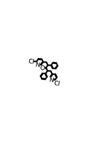 O=C(C(Cc1ccc(Cl)nc1)c1ccccc1)C(Cc1ccc(Cl)nc1)c1ccccc1